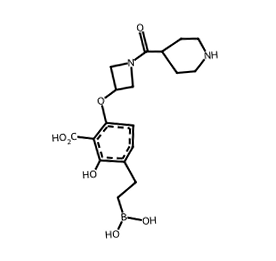 O=C(O)c1c(OC2CN(C(=O)C3CCNCC3)C2)ccc(CCB(O)O)c1O